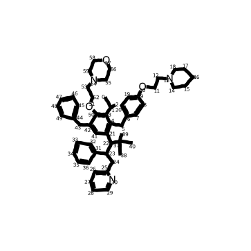 CC(C)c1c(Cc2ccc(OCCN3CCCCC3)cc2)c([C](C(Cc2ccccn2)c2ccccc2)C(C)(C)C)cc(Cc2ccccc2)c1OCCN1CCOCC1